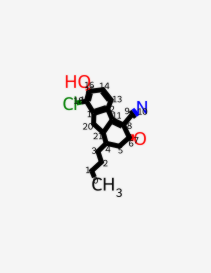 CCCCC1CC(=O)C(C#N)=C2c3ccc(O)c(Cl)c3CC21